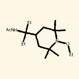 CCON1C(C)(C)CC(C(CC)(CC)NC(C)=O)CC1(C)C